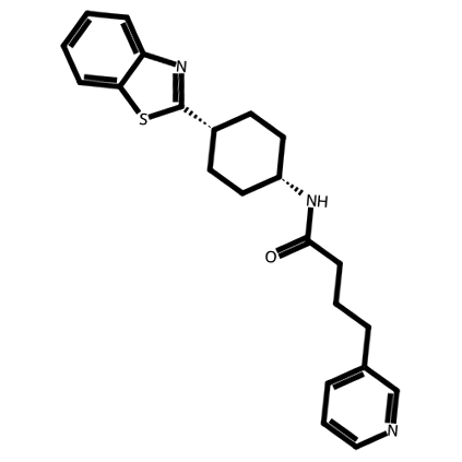 O=C(CCCc1cccnc1)N[C@H]1CC[C@@H](c2nc3ccccc3s2)CC1